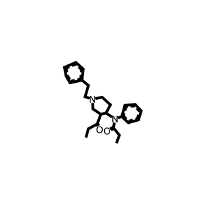 CCC(=O)C1CN(CCc2ccccc2)CCC1N(C(=O)CC)c1ccccc1